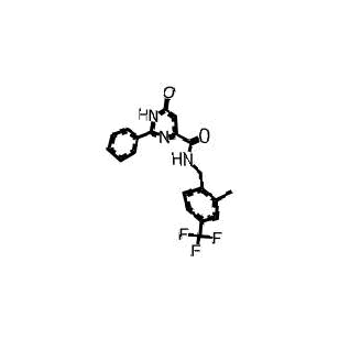 Cc1cc(C(F)(F)F)ccc1CNC(=O)c1cc(=O)[nH]c(-c2ccccc2)n1